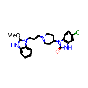 COC1Nc2ccccc2N1CCCN1CCC(n2c(=O)[nH]c3cc(Cl)ccc32)CC1